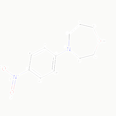 O=[N+]([O-])c1ccc(N2CCCOCC2)cc1